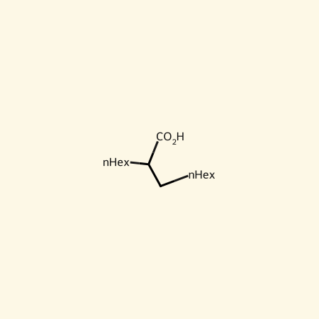 CCCCCCCC(CCCCCC)C(=O)O